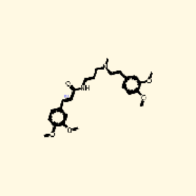 COc1ccc(/C=C/C(=O)NCCCN(C)CCc2ccc(OC)c(OC)c2)cc1OC